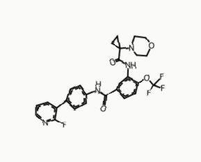 O=C(Nc1ccc(-c2cccnc2F)cc1)c1ccc(OC(F)(F)F)c(NC(=O)C2(N3CCOCC3)CC2)c1